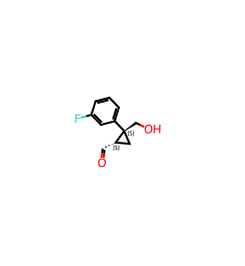 O=C[C@H]1C[C@@]1(CO)c1cccc(F)c1